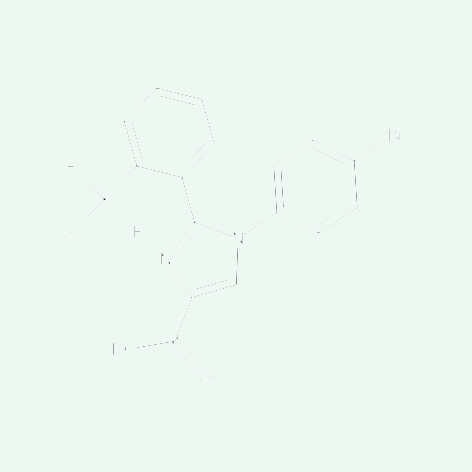 CC(=O)c1cn(-c2ccc(Br)cc2)c(-c2ccccc2C(F)(F)F)n1